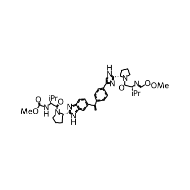 C=C(c1ccc(-c2c[nH]c([C@@H]3CCCN3C(=O)[C@@H](/N=C/OOC)C(C)C)n2)cc1)c1ccc2nc([C@@H]3CCCN3C(=O)[C@@H](NC(=O)OC)C(C)C)[nH]c2c1